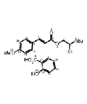 CCCCC(CC)COC(=O)/C=C/c1ccc(OC)cc1.O=C(O)c1ccccc1O